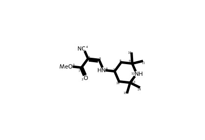 COC(=O)C(C#N)=CNC1CC(C)(C)NC(C)(C)C1